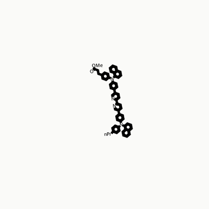 CCCc1ccc(N(c2ccc(-c3ccc(-c4ccc(-c5ccc(N(c6ccc(CCC(=O)OC)cc6)c6cccc7ccccc67)cc5)cn4)nc3)cc2)c2cccc3ccccc23)cc1